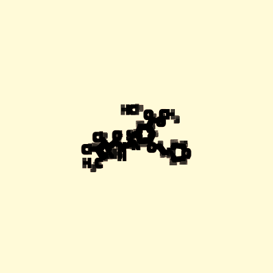 COC(=O)c1cc(OCCN2CCOCC2)c2nc(NC(=O)c3[nH]c(C)c(Cl)c3Cl)sc2c1.Cl